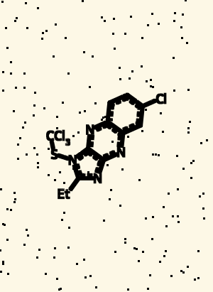 CCc1nc2nc3cc(Cl)ccc3nc2n1SC(Cl)(Cl)Cl